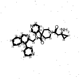 NC1(CC(=O)N2CCC3(CC2)C(=O)N(Cc2ncc4ccccc4c2-c2cccnc2)c2cnccc23)CC1